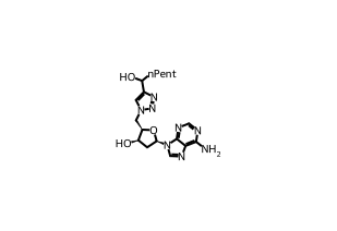 CCCCCC(O)c1cn(C[C@H]2O[C@@H](n3cnc4c(N)ncnc43)C[C@H]2O)nn1